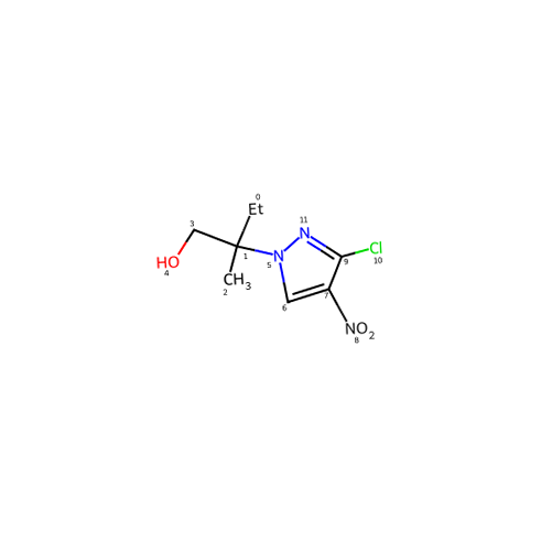 CCC(C)(CO)n1cc([N+](=O)[O-])c(Cl)n1